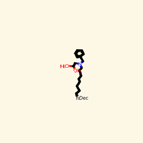 CCCCCCCCCCCCCCCCCCN(Cc1ccccc1)CC(O)O